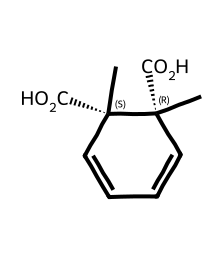 C[C@@]1(C(=O)O)C=CC=C[C@]1(C)C(=O)O